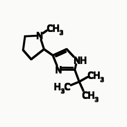 CN1CCCC1c1c[nH]c(C(C)(C)C)n1